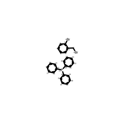 BrCc1ccccc1Br.c1ccc(P(c2ccccc2)c2ccccc2)cc1